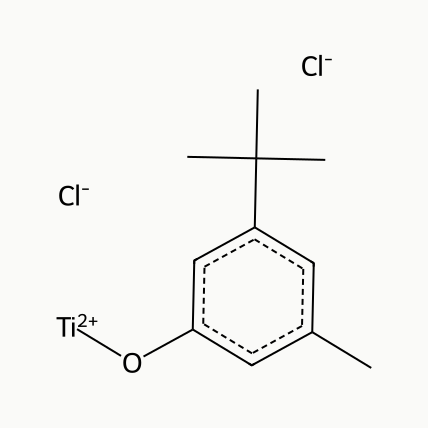 Cc1cc([O][Ti+2])cc(C(C)(C)C)c1.[Cl-].[Cl-]